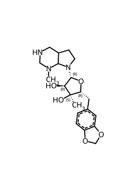 CN1CNCC2CCN([C@@H]3O[C@H](Cc4ccc5c(c4)OCO5)[C@@](C)(O)[C@H]3O)C21